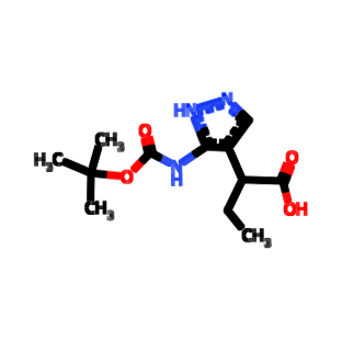 CCC(C(=O)O)c1cn[nH]c1NC(=O)OC(C)(C)C